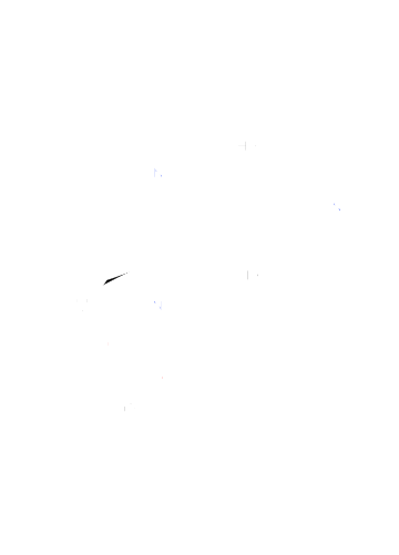 Cc1cncc(C)c1-c1cncc([C@H](CC(=O)O)NC(=O)OC(C)(C)C)c1